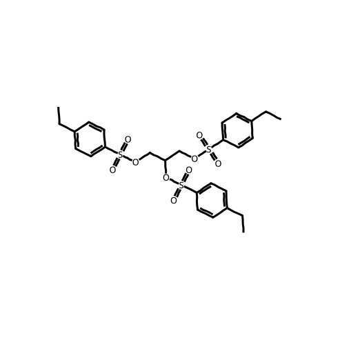 CCc1ccc(S(=O)(=O)OCC(COS(=O)(=O)c2ccc(CC)cc2)OS(=O)(=O)c2ccc(CC)cc2)cc1